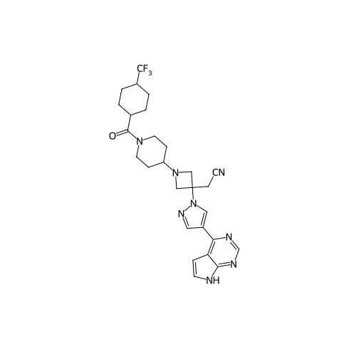 N#CCC1(n2cc(-c3ncnc4[nH]ccc34)cn2)CN(C2CCN(C(=O)C3CCC(C(F)(F)F)CC3)CC2)C1